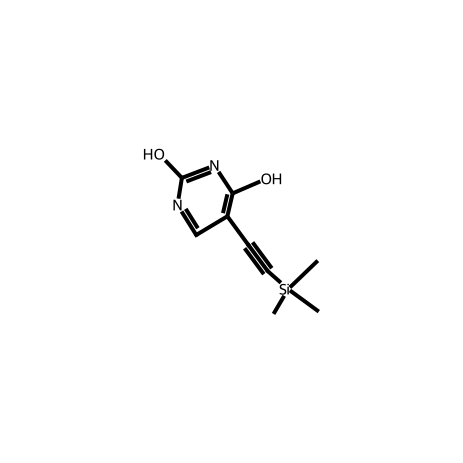 C[Si](C)(C)C#Cc1cnc(O)nc1O